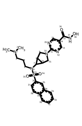 CN(C)CCCN(C1C2CN(c3ncc(C(=O)NO)cn3)CC21)S(=O)(=O)c1ccc2ccccc2c1